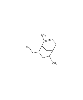 CC(=O)CC1CC(C)C2CC=C(C)C1C2